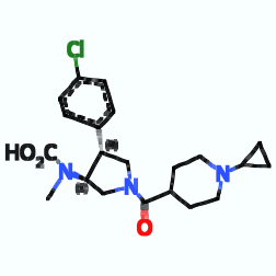 CN(C(=O)O)[C@@H]1CN(C(=O)C2CCN(C3CC3)CC2)C[C@H]1c1ccc(Cl)cc1